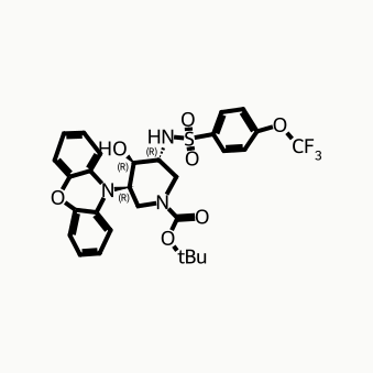 CC(C)(C)OC(=O)N1C[C@@H](N2c3ccccc3Oc3ccccc32)[C@@H](O)[C@H](NS(=O)(=O)c2ccc(OC(F)(F)F)cc2)C1